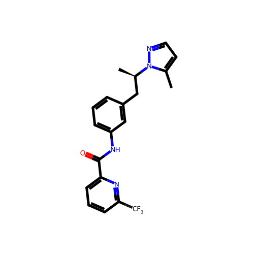 Cc1ccnn1[C@H](C)Cc1cccc(NC(=O)c2cccc(C(F)(F)F)n2)c1